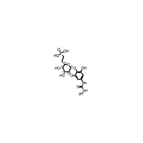 CC(C)NC(=O)Nc1ccc(O[C@H]2O[C@H](CCP(=O)(O)O)[C@@H](O)[C@H](O)[C@@H]2O)c(O)c1